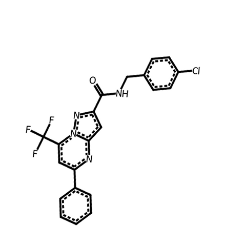 O=C(NCc1ccc(Cl)cc1)c1cc2nc(-c3ccccc3)cc(C(F)(F)F)n2n1